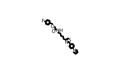 O=C(COCc1ccc(F)cc1)NCCCCCc1csc(-c2ccc(-n3cccc3)cc2)n1